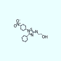 O=[N+]([O-])c1ccc(-n2sc(=NCCO)nc2-c2ccccc2)cc1